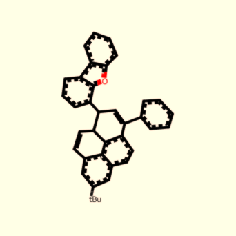 CC(C)(C)c1cc2c3c4c(ccc3c1)C(c1ccccc1)=CC(c1cccc3c1oc1ccccc13)C4C=C2